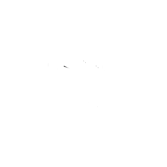 NC(C(C[C@H](N)C(=O)O)C(=O)O)C(F)(F)F